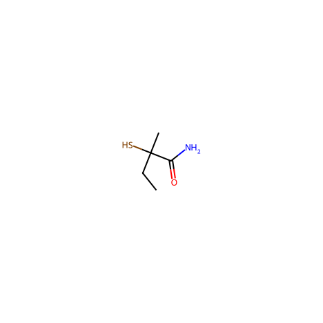 CCC(C)(S)C(N)=O